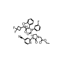 CCOC(=O)CN1C[C@@H](C(=O)N(c2cccc(F)c2)[C@H](C(=O)NC2CC(F)(F)C2)c2ccccc2Cl)N(c2cc(C#N)ccn2)C1=O